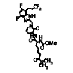 COC(=O)NC(CCC=CC(=O)N(C)C)C(=O)Nc1cccn(Cc2nc3c(F)cc(F)c(CCC(F)(F)F)c3[nH]2)c1=O